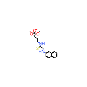 CO[Si](CCCNC(=S)CNc1ccc2ccccc2c1)(OC)OC